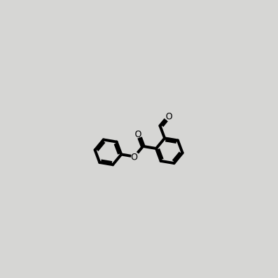 O=Cc1ccccc1C(=O)Oc1ccccc1